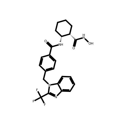 O=C(N[C@@H]1CCCC[C@@H]1C(=O)NO)c1ccc(Cn2c(C(F)(F)F)nc3ccccc32)cc1